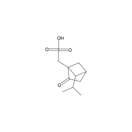 CC(C)C1C2CC(=O)C1(CS(=O)(=O)O)C2